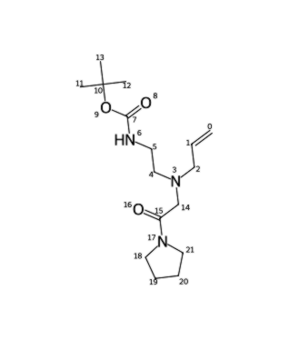 C=CCN(CCNC(=O)OC(C)(C)C)CC(=O)N1CCCC1